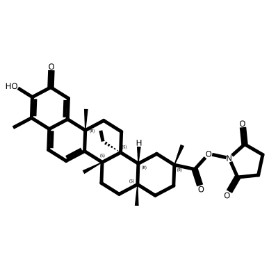 CC[C@@]12CC[C@@]3(C)C4=CC(=O)C(O)=C(C)C4=CC=C3[C@@]1(C)CC[C@@]1(C)CC[C@@](C)(C(=O)ON3C(=O)CCC3=O)C[C@H]12